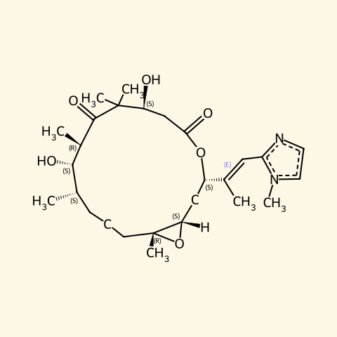 C/C(=C\c1nccn1C)[C@@H]1C[C@@H]2O[C@]2(C)CCC[C@H](C)[C@H](O)[C@@H](C)C(=O)C(C)(C)[C@@H](O)CC(=O)O1